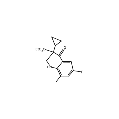 CCOC(=O)C1(C2CC2)CNc2c(C)cc(F)cc2C1=O